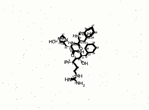 CC(C)[C@@H](CCNC(=N)N)C[C@@H](O)[C@H](CC1CCCCC1)NC(=O)[C@H](Cc1c[nH]cn1)NC(=O)[C@H](Cc1ccccc1)NC(=O)O.Cl